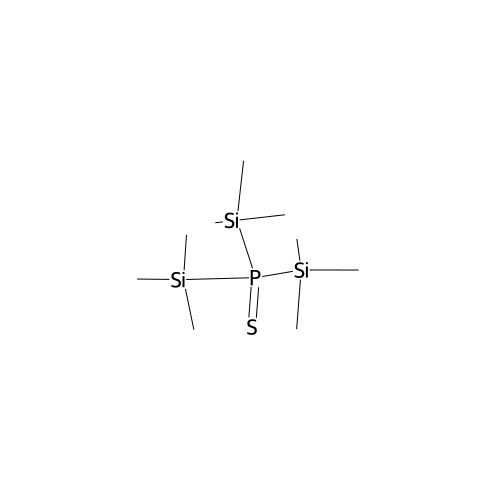 C[Si](C)(C)P(=S)([Si](C)(C)C)[Si](C)(C)C